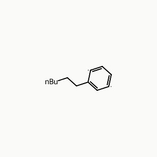 CCCCCCc1[c]cc[c]c1